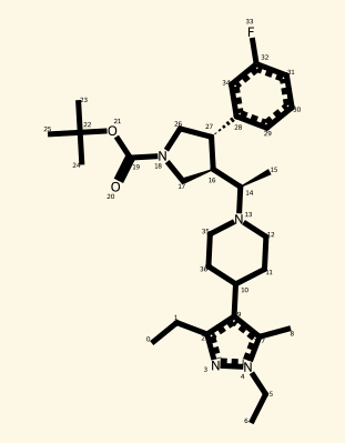 CCc1nn(CC)c(C)c1C1CCN([C@H](C)[C@H]2CN(C(=O)OC(C)(C)C)C[C@@H]2c2cccc(F)c2)CC1